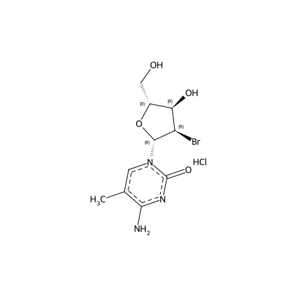 Cc1cn([C@@H]2O[C@H](CO)[C@@H](O)[C@H]2Br)c(=O)nc1N.Cl